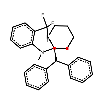 CN(c1ccccc1C(F)(F)F)[C@@]1(C(c2ccccc2)c2ccccc2)CC2CCN1CC2